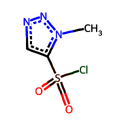 Cn1nncc1S(=O)(=O)Cl